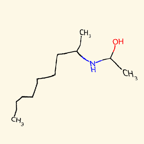 CCCCCCC(C)NC(C)O